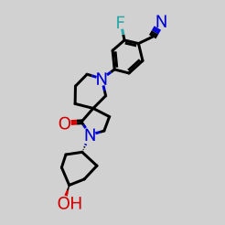 N#Cc1ccc(N2CCCC3(CCN([C@H]4CC[C@H](O)CC4)C3=O)C2)cc1F